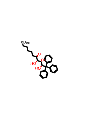 CCCCCCCCCCCCCCCC(=O)[C@H](O)C(O)C(O)C(c1ccccc1)(c1ccccc1)c1ccccc1